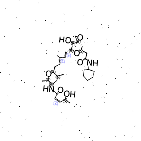 CC(/C=C/[C@H]1O[C@H](CC(=O)NC2CCCCC2)C[C@@]2(CO2)[C@@H]1O)=C\C[C@@H]1O[C@H](C)[C@H](NC(=O)/C=C\[C@H](C)O)C[C@@H]1C